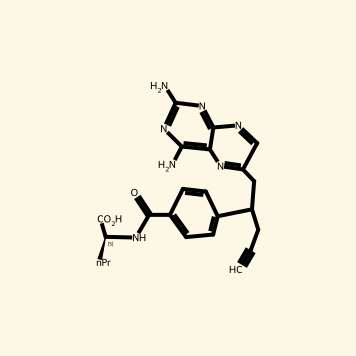 C#CCC(Cc1cnc2nc(N)nc(N)c2n1)c1ccc(C(=O)N[C@@H](CCC)C(=O)O)cc1